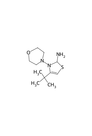 CC(C)(C)C1=CSC(N)N1N1CCOCC1